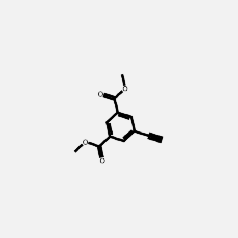 C#Cc1cc(C(=O)OC)cc(C(=O)OC)c1